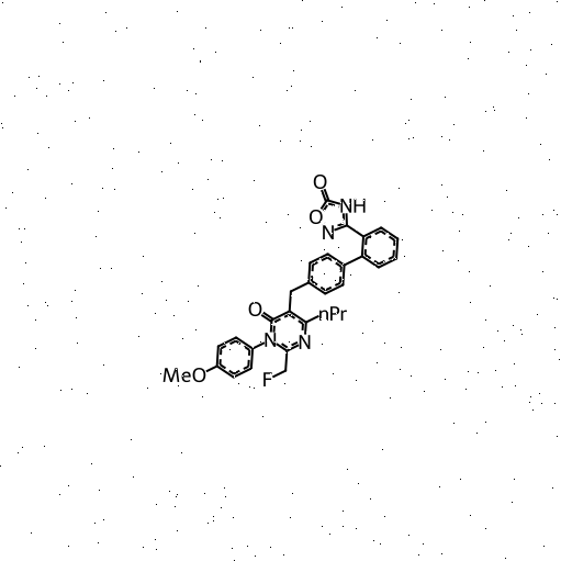 CCCc1nc(CF)n(-c2ccc(OC)cc2)c(=O)c1Cc1ccc(-c2ccccc2-c2noc(=O)[nH]2)cc1